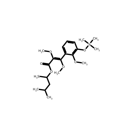 COC(C(=O)OC([SiH3])CC(C)C)=C(OC)c1cccc(O[Si](C)(C)C)c1OC